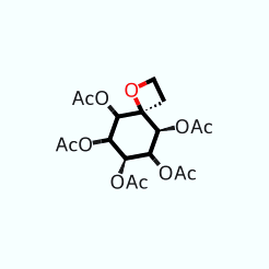 CC(=O)OC1C(OC(C)=O)[C@]2(CCO2)[C@@H](OC(C)=O)C(OC(C)=O)[C@H]1OC(C)=O